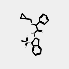 CS(=O)(=O)[C@H]1c2ccccc2C[C@@H]1NC(=O)C(OCC1CC1)c1ccccc1